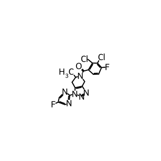 CC1Cc2c(nnn2-c2ncc(F)cn2)CN1C(=O)c1ccc(F)c(Cl)c1Cl